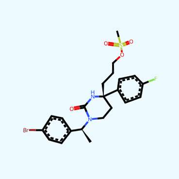 C[C@@H](c1ccc(Br)cc1)N1CC[C@@](CCCOS(C)(=O)=O)(c2ccc(F)cc2)NC1=O